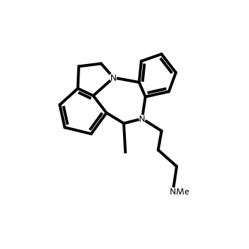 CNCCCN1c2ccccc2N2CCc3cccc(c32)C1C